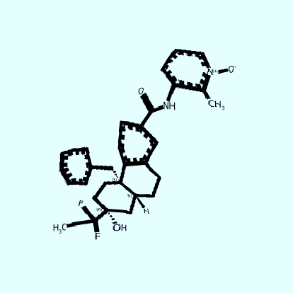 Cc1c(NC(=O)c2ccc3c(c2)CC[C@@H]2C[C@@](O)(C(C)(F)F)CC[C@@]32Cc2ccccc2)ccc[n+]1[O-]